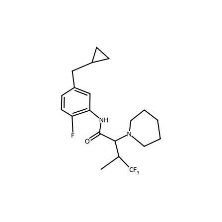 CC(C(C(=O)Nc1cc(CC2CC2)ccc1F)N1CCCCC1)C(F)(F)F